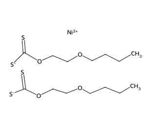 CCCCOCCOC(=S)[S-].CCCCOCCOC(=S)[S-].[Ni+2]